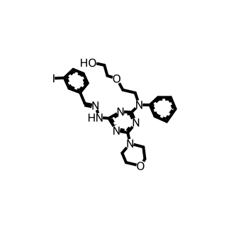 OCCOCCN(c1ccccc1)c1nc(N/N=C/c2cccc(I)c2)nc(N2CCOCC2)n1